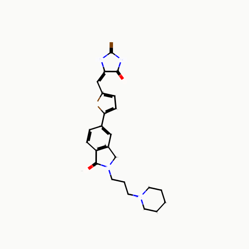 O=C1NC(=S)N/C1=C/c1ccc(-c2ccc3c(c2)CN(CCCN2CCCCC2)C3=O)s1